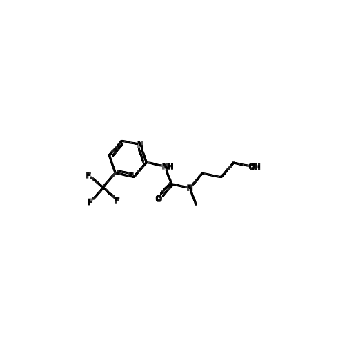 CN(CCCO)C(=O)Nc1cc(C(F)(F)F)ccn1